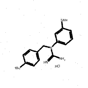 CSc1cccc(N(Cc2ccc(C(C)(C)C)cc2)C(=N)N)c1.Cl